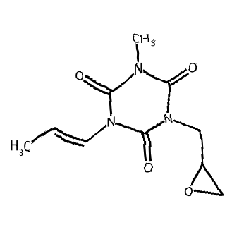 CC=Cn1c(=O)n(C)c(=O)n(CC2CO2)c1=O